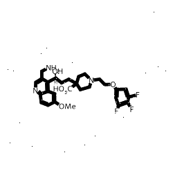 COc1ccc2ncc(CN)c([C@H](O)CCC3(C(=O)O)CCN(CCOc4cc(F)c(F)c(F)c4)CC3)c2c1